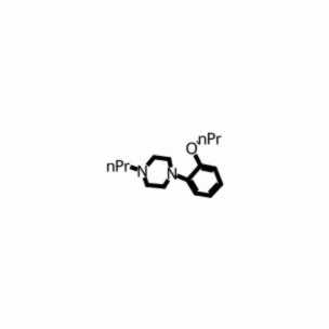 C[CH]CN1CCN(c2ccccc2OCCC)CC1